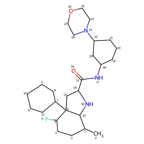 CC1CCC(F)C2(C3CCCCC3)CC(C(=O)NC3CCCC(N4CCOCC4)C3)NC12